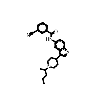 CCCC(C)N1CCC(c2csc3ccc(NC(=O)c4cccc(C#N)c4)cc23)CC1